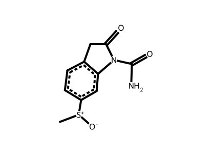 C[S+]([O-])c1ccc2c(c1)N(C(N)=O)C(=O)C2